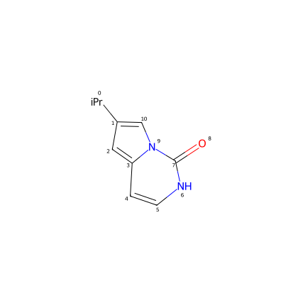 CC(C)c1cc2cc[nH]c(=O)n2c1